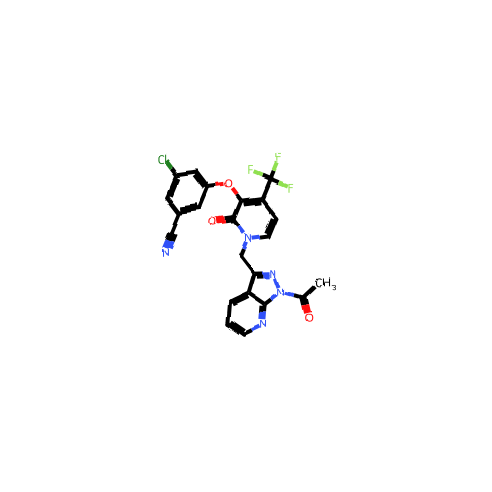 CC(=O)n1nc(Cn2ccc(C(F)(F)F)c(Oc3cc(Cl)cc(C#N)c3)c2=O)c2cccnc21